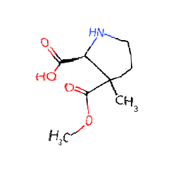 COC(=O)C1(C)CCN[C@@H]1C(=O)O